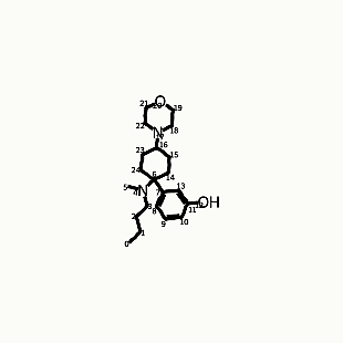 CCCCN(C)C1(c2cccc(O)c2)CCC(N2CCOCC2)CC1